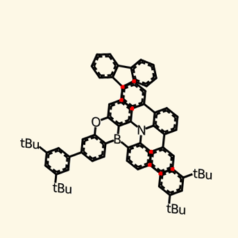 CC(C)(C)c1cc(-c2ccc3c(c2)Oc2cc(C4c5ccccc5-c5ccccc54)cc4c2B3c2ccc(-c3cc(C(C)(C)C)cc(C(C)(C)C)c3)cc2N4c2c(-c3ccccc3)cccc2-c2ccccc2)cc(C(C)(C)C)c1